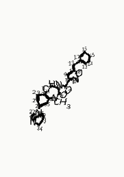 CN1C(=O)C(NC(=O)c2cc(Cc3ccccc3)on2)COc2ccc(N3CCN4CCC3CC4)cc21